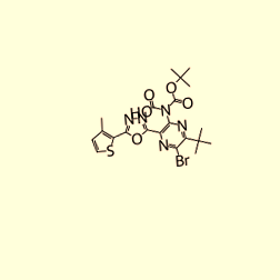 Cc1ccsc1-c1nnc(-c2nc(Br)c(C(C)(C)C)nc2N(C(=O)O)C(=O)OC(C)(C)C)o1